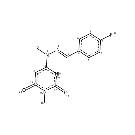 CN(N=Cc1ccc(F)cc1)c1cc(=O)n(C)c(=O)[nH]1